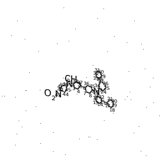 CN(c1ccc(-c2ccc(N(c3cccc(-c4ccccc4)c3)c3cccc(-c4ccccc4)c3)cc2)cc1)c1ccc([N+](=O)[O-])cc1